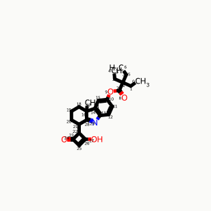 CCC(CC)(CC)C(=O)Oc1ccc2c(c1)C1(C)CCCC(C3C(=O)C=C3O)C1=N2